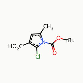 Cc1cc(C(=O)O)c(Cl)n1C(=O)OC(C)(C)C